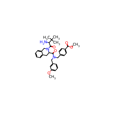 COC(=O)c1ccc(CN(Cc2cccc(OC)c2)C(=O)C2Cc3ccccc3CN2C(=O)C(N)C(C)(C)C)cc1